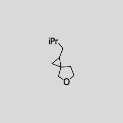 CC(C)CC1CC12CCOC2